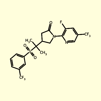 CC(C)(C1CC(=O)N(c2ncc(C(F)(F)F)cc2F)C1)S(=O)(=O)c1cccc(C(F)(F)F)c1